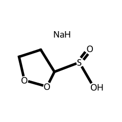 O=S(O)C1CCOO1.[NaH]